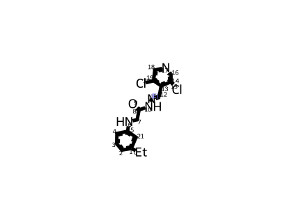 CCc1cccc(NCC(=O)N/N=C/c2c(Cl)cncc2Cl)c1